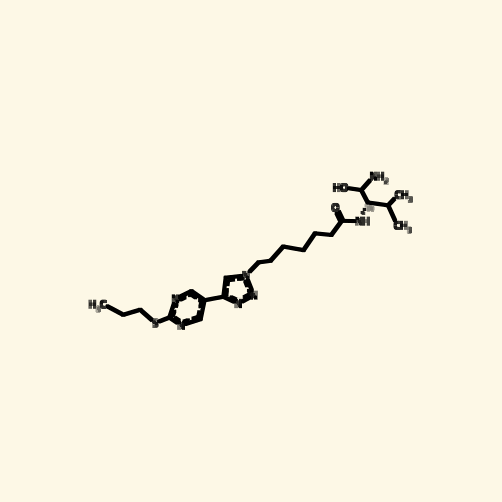 CCCSc1ncc(-c2cn(CCCCCCC(=O)N[C@@H](C(C)C)C(N)O)nn2)cn1